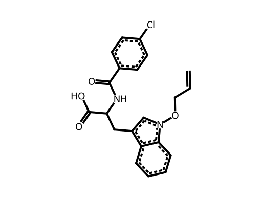 C=CCOn1cc(CC(NC(=O)c2ccc(Cl)cc2)C(=O)O)c2ccccc21